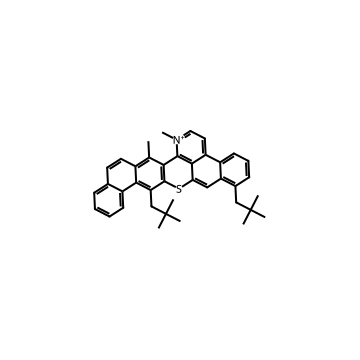 Cc1c2c(c(CC(C)(C)C)c3c1ccc1ccccc13)Sc1cc3c(CC(C)(C)C)cccc3c3cc[n+](C)c-2c13